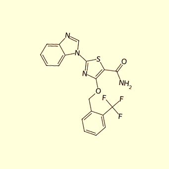 NC(=O)c1sc(-n2cnc3ccccc32)nc1OCc1ccccc1C(F)(F)F